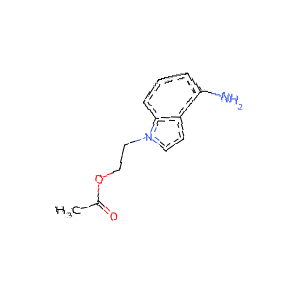 CC(=O)OCCn1ccc2c(N)cccc21